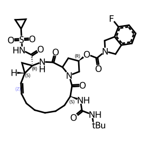 CC(C)(C)NC(=O)N[C@H]1CCCCC/C=C\[C@@H]2C[C@@]2(C(=O)NS(=O)(=O)C2CC2)NC(=O)C2C[C@@H](OC(=O)N3Cc4cccc(F)c4C3)CN2C1=O